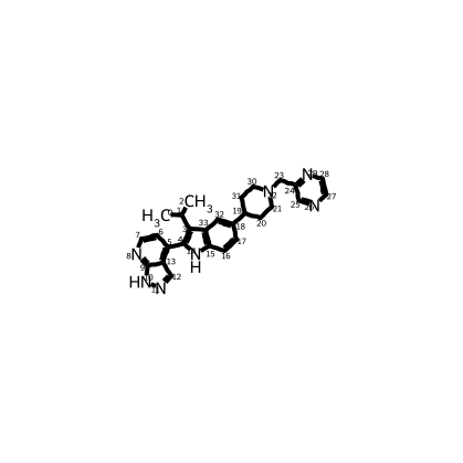 CC(C)c1c(-c2ccnc3[nH]ncc23)[nH]c2ccc(C3CCN(Cc4cnccn4)CC3)cc12